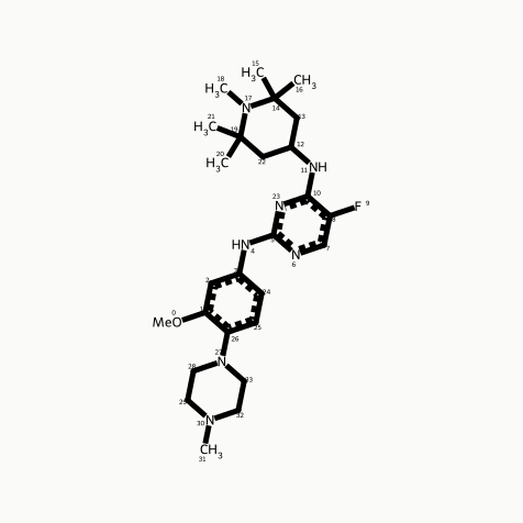 COc1cc(Nc2ncc(F)c(NC3CC(C)(C)N(C)C(C)(C)C3)n2)ccc1N1CCN(C)CC1